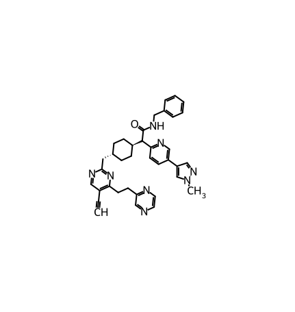 C#Cc1cnc(C[C@H]2CC[C@H](C(C(=O)NCc3ccccc3)c3ccc(-c4cnn(C)c4)cn3)CC2)nc1CCc1cnccn1